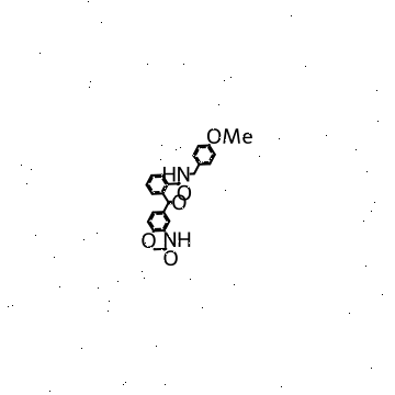 COc1ccc(CNC(=O)c2ccccc2C(=O)c2ccc3c(c2)NC(=O)CO3)cc1